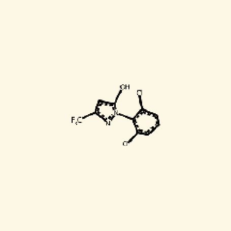 Oc1cc(C(F)(F)F)nn1-c1c(Cl)cccc1Cl